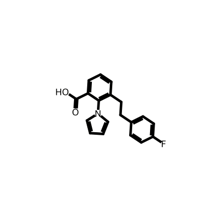 O=C(O)c1cccc(CCc2ccc(F)cc2)c1-n1cccc1